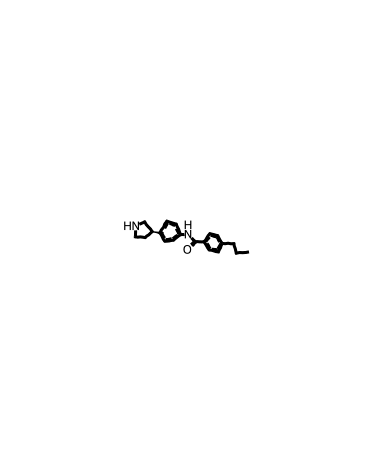 CCCc1ccc(C(=O)Nc2ccc([C@H]3CCNC3)cc2)cc1